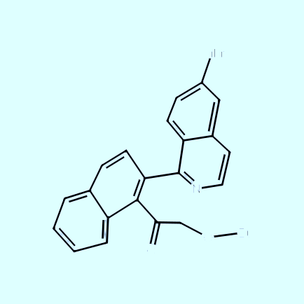 CCOCC(=O)c1c(-c2nccc3cc(C(C)C)ccc23)ccc2ccccc12